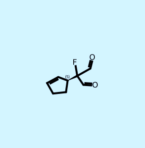 O=CC(F)(C=O)[C@@H]1C=CCC1